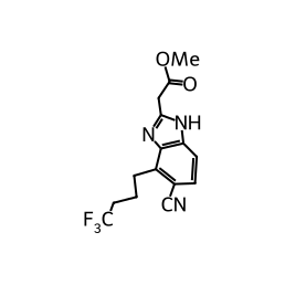 COC(=O)Cc1nc2c(CCCC(F)(F)F)c(C#N)ccc2[nH]1